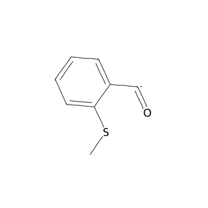 CSc1ccccc1[C]=O